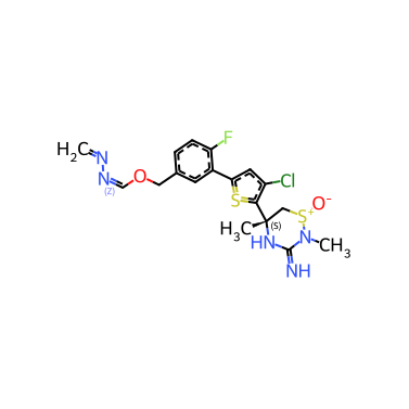 C=N/N=C\OCc1ccc(F)c(-c2cc(Cl)c([C@]3(C)C[S+]([O-])N(C)C(=N)N3)s2)c1